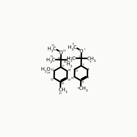 COC(C)(C)C1CC=C(C)CC1.COC(C)(C)C1CC=C(C)CC1.O